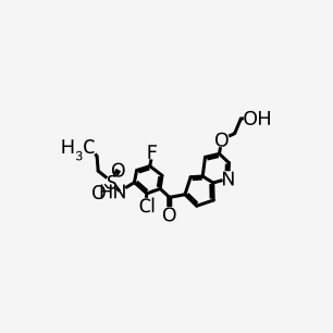 CCCS(=O)(=O)Nc1cc(F)cc(C(=O)c2ccc3ncc(OCCO)cc3c2)c1Cl